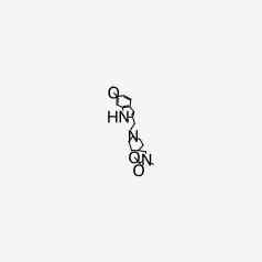 COc1ccc2cc(CCN3CCC4(CC3)CN(C)C(=O)O4)[nH]c2c1